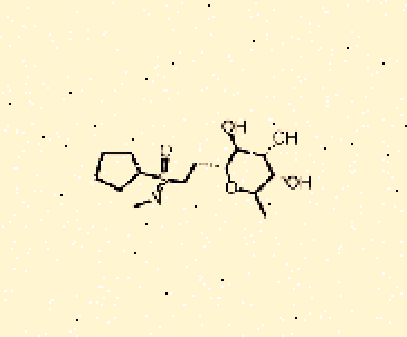 CN=S(=O)(CC[C@H]1OC(C)[C@@H](O)[C@@H](O)[C@@H]1O)C1CCCC1